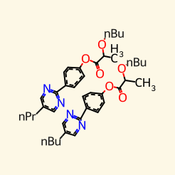 CCCCOC(C)C(=O)Oc1ccc(-c2ncc(CCC)cn2)cc1.CCCCOC(C)C(=O)Oc1ccc(-c2ncc(CCCC)cn2)cc1